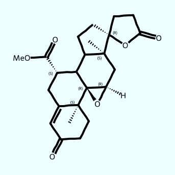 COC(=O)[C@H]1CC2=CC(=O)CC[C@]2(C)[C@@]23O[C@@H]2C[C@@]2(C)C(CC[C@@]24CCC(=O)O4)C13